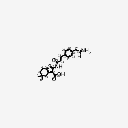 CC1(C)CCc2sc(NC(=O)/C=C/c3ccc(CNN)cc3)c(C(=O)O)c2C1